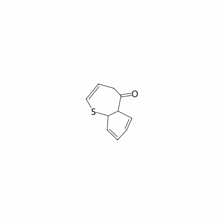 O=C1CC=CSC2C=CC=CC12